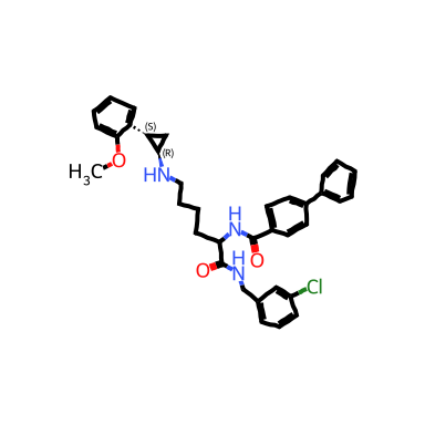 COc1ccccc1[C@@H]1C[C@H]1NCCCCC(NC(=O)c1ccc(-c2ccccc2)cc1)C(=O)NCc1cccc(Cl)c1